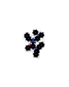 c1ccc(-n2c3ccccc3c3ccc(-c4nc(-c5ccc6ccccc6c5)nc(-c5cc(-n6c7cc8ccccc8cc7c7cc8ccccc8cc76)cc6c5oc5ccccc56)n4)cc32)cc1